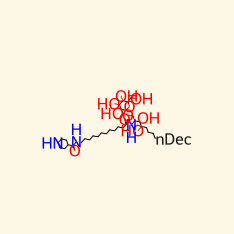 CCCCCCCCCCCCCC[C@@H](O)[C@@H](O)[C@H](CO[C@H]1O[C@H](CO)[C@H](O)[C@H](O)[C@H]1O)NC(=O)CCCCCCCCCCCNC(=O)C1CCNCC1